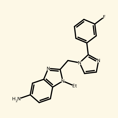 CCn1c(Cn2ccnc2-c2cccc(F)c2)nc2cc(N)ccc21